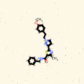 COc1ccc(CCn2ccc(-c3nc(C)c(C(=O)NCc4ccccc4)s3)n2)cc1